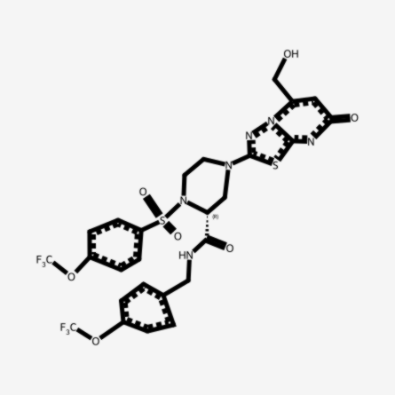 O=C(NCc1ccc(OC(F)(F)F)cc1)[C@H]1CN(c2nn3c(CO)cc(=O)nc3s2)CCN1S(=O)(=O)c1ccc(OC(F)(F)F)cc1